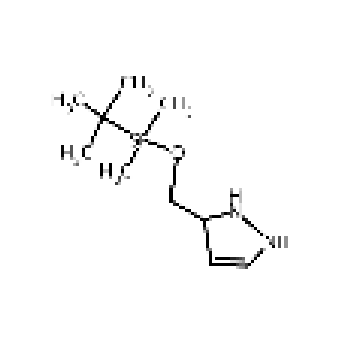 CC(C)(C)[Si](C)(C)OCC1C=CNN1